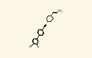 C/C=C/[C@H]1CC[C@H](C#Cc2ccc(-c3ccc(Cl)c(F)c3)cc2)CC1